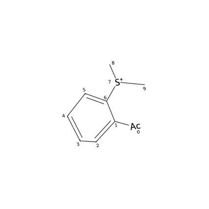 CC(=O)c1ccccc1[S+](C)C